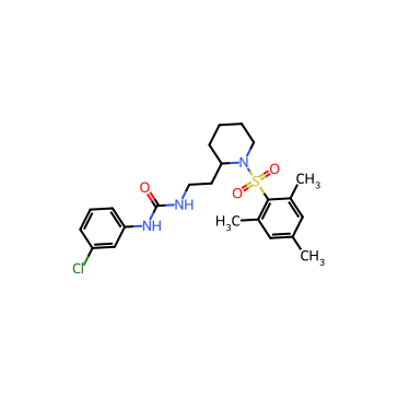 Cc1cc(C)c(S(=O)(=O)N2CCCCC2CCNC(=O)Nc2cccc(Cl)c2)c(C)c1